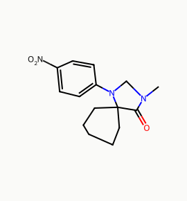 CN1CN(c2ccc([N+](=O)[O-])cc2)C2(CCCCC2)C1=O